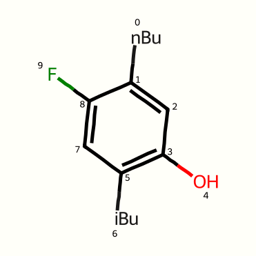 CCCCc1cc(O)c(C(C)CC)cc1F